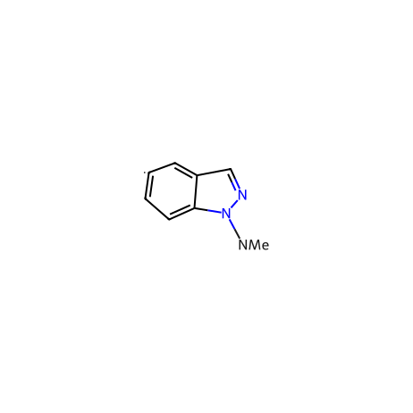 CNn1ncc2c[c]ccc21